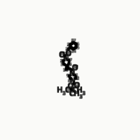 CC(C)(C)OC(=O)N1CCN(C(=O)C2CC23CCN(C(=O)OCc2ccccc2)CC3)CC1